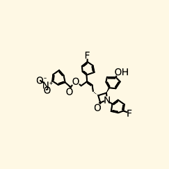 O=C(OC/C(=C\C[C@H]1C(=O)N(c2ccc(F)cc2)[C@@H]1c1ccc(O)cc1)c1ccc(F)cc1)c1cccc([N+](=O)[O-])c1